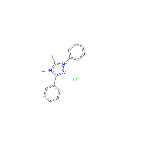 Cc1n(C)c(-c2ccccc2)n[n+]1-c1ccccc1.[Cl-]